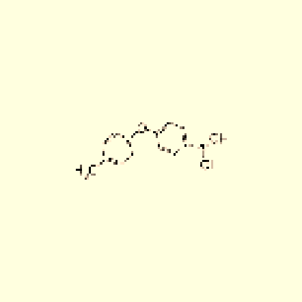 Cc1ccc(Oc2ccc(B(O)O)cc2)cc1